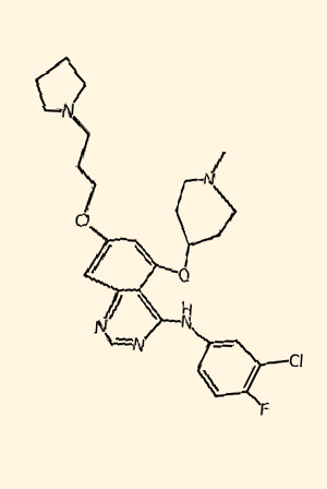 CN1CCC(Oc2cc(OCCCN3CCCC3)cc3ncnc(Nc4ccc(F)c(Cl)c4)c23)CC1